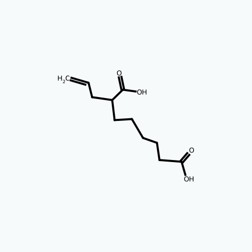 C=CCC(CCCCCC(=O)O)C(=O)O